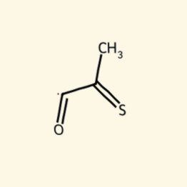 CC(=S)[C]=O